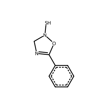 SN1CN=C(c2ccccc2)O1